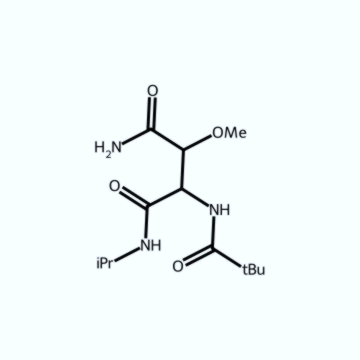 COC(C(N)=O)C(NC(=O)C(C)(C)C)C(=O)NC(C)C